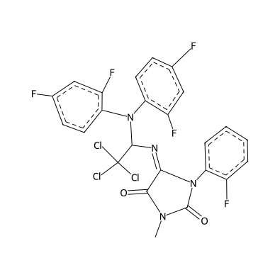 CN1C(=O)C(=NC(N(c2ccc(F)cc2F)c2ccc(F)cc2F)C(Cl)(Cl)Cl)N(c2ccccc2F)C1=O